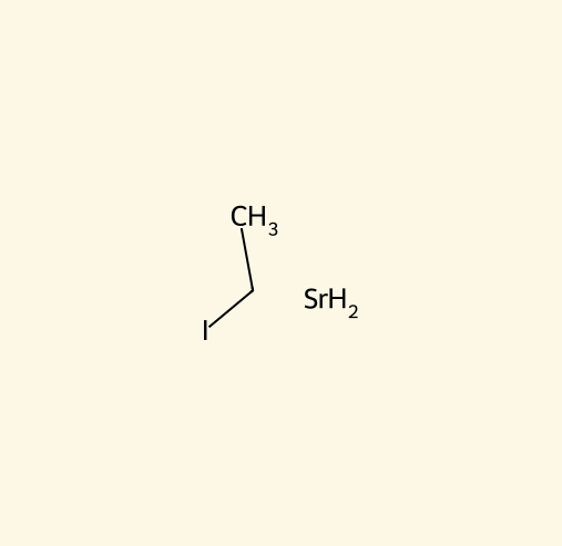 CCI.[SrH2]